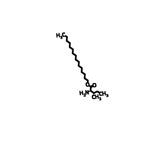 CCCCCCCCCCCCCCCCOC(=O)[C@@H](N)[C@@H](C)CC